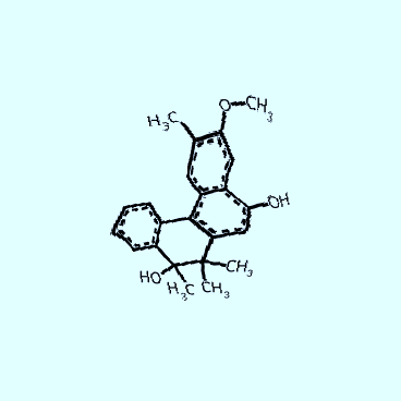 COc1cc2c(O)cc3c(c2cc1C)-c1ccccc1C(C)(O)C3(C)C